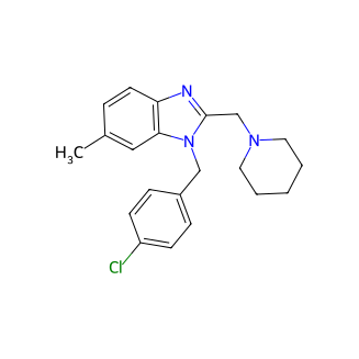 Cc1ccc2nc(CN3CCCCC3)n(Cc3ccc(Cl)cc3)c2c1